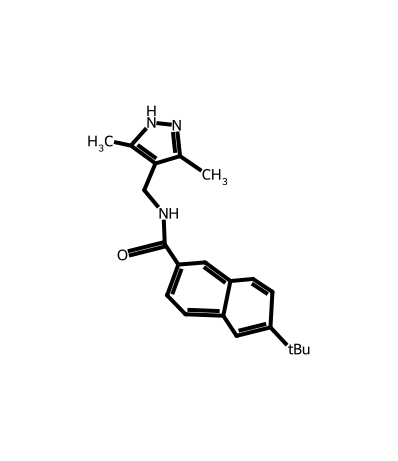 Cc1n[nH]c(C)c1CNC(=O)c1ccc2cc(C(C)(C)C)ccc2c1